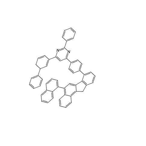 C1=CC(c2cc(-c3ccc(-c4cccc5c4-c4cc(-c6cccc7ccccc67)c6ccccc6c4C5)cc3)nc(-c3ccccc3)n2)=CC(c2ccccc2)C1